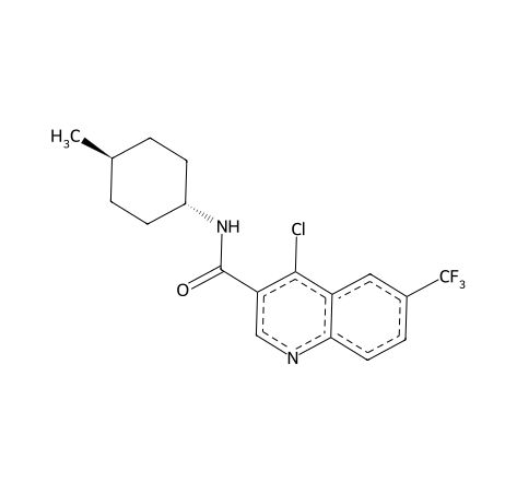 C[C@H]1CC[C@H](NC(=O)c2cnc3ccc(C(F)(F)F)cc3c2Cl)CC1